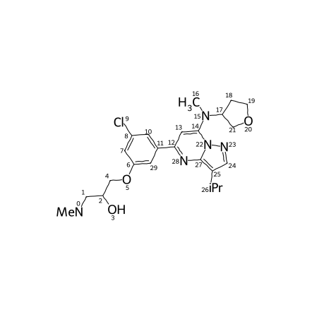 CNCC(O)COc1cc(Cl)cc(-c2cc(N(C)C3CCOC3)n3ncc(C(C)C)c3n2)c1